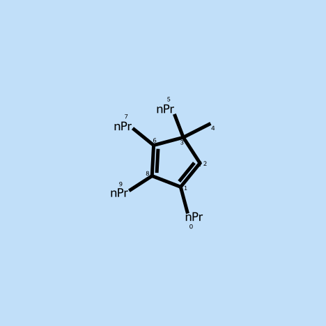 CCCC1=[C]C(C)(CCC)C(CCC)=C1CCC